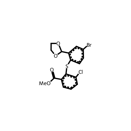 COC(=O)c1cccc(Cl)c1Sc1ccc(Br)cc1C1OCCO1